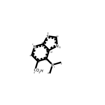 CN(C)c1c(C(=O)O)cnc2scnc12